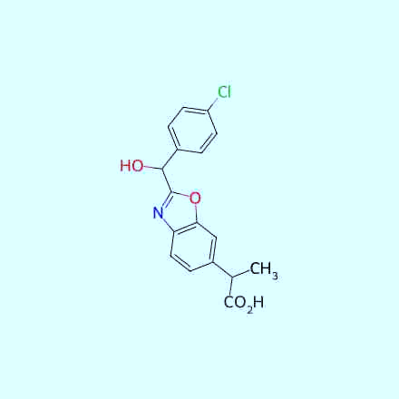 CC(C(=O)O)c1ccc2nc(C(O)c3ccc(Cl)cc3)oc2c1